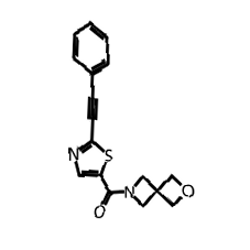 O=C(c1cnc(C#Cc2ccccc2)s1)N1CC2(COC2)C1